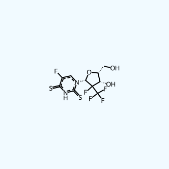 OC[C@H]1O[C@@H](n2cc(F)c(=S)[nH]c2=S)C(F)(C(F)(F)F)[C@H]1O